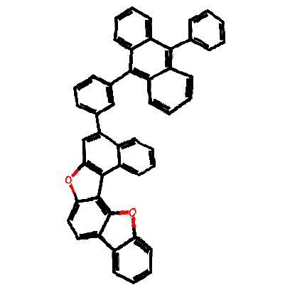 c1ccc(-c2c3ccccc3c(-c3cccc(-c4cc5oc6ccc7c8ccccc8oc7c6c5c5ccccc45)c3)c3ccccc23)cc1